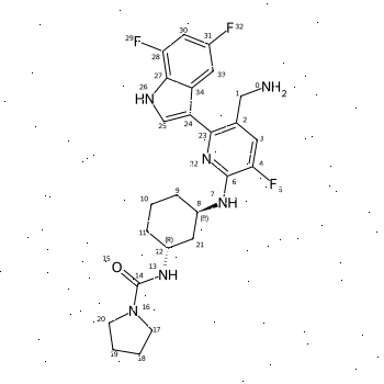 NCc1cc(F)c(N[C@@H]2CCC[C@@H](NC(=O)N3CCCC3)C2)nc1-c1c[nH]c2c(F)cc(F)cc12